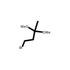 COC(C)(CCBr)OC